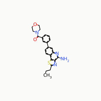 CCCc1nc2c(N)nc3cc(-c4cccc(C(=O)N5CCOCC5)c4)ccc3c2s1